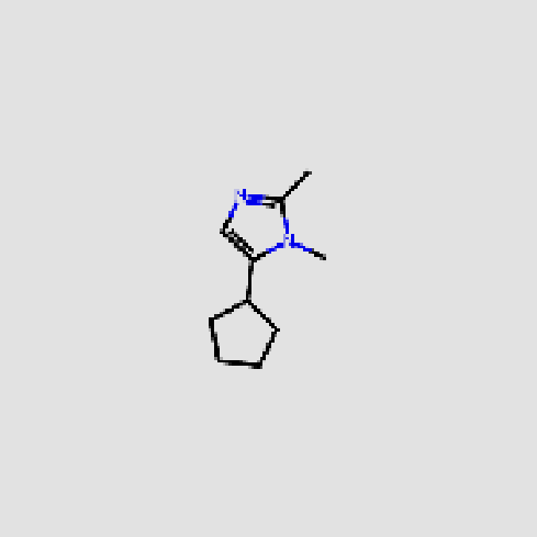 Cc1ncc(C2CCCC2)n1C